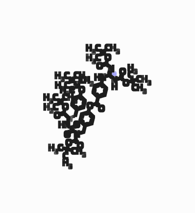 CC(C)(C)OC(=O)/N=C(/NC(=O)OC(C)(C)C)Nc1ccc(C(=O)Oc2ccc(CN(C(=O)OC(C)(C)C)S(=O)(=O)N[C@@H](Cc3ccc(O[Si](C)(C)C(C)(C)C)cc3)C(=O)OC(C)(C)C)cc2)cc1